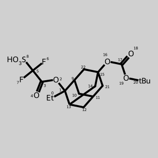 CCC1(OC(=O)C(F)(F)S(=O)(=O)O)C2CC3CC1CC(OC(=O)OC(C)(C)C)(C3)C2